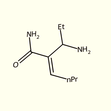 CCCC=C(C(N)=O)C(N)CC